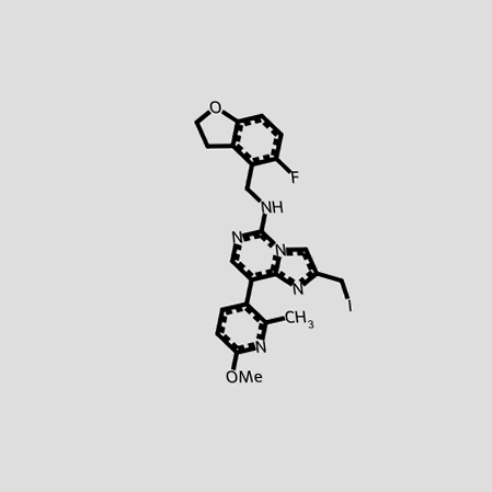 COc1ccc(-c2cnc(NCc3c(F)ccc4c3CCO4)n3cc(CI)nc23)c(C)n1